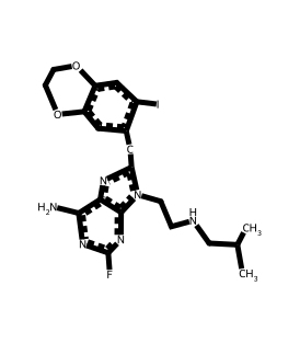 CC(C)CNCCn1c(Cc2cc3c(cc2I)OCCO3)nc2c(N)nc(F)nc21